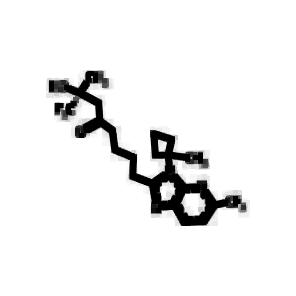 CC1(n2c(CCCCC(=O)C[C@](C)(O)C(F)(F)F)nc3ccc(C(F)(F)F)nc32)CCC1